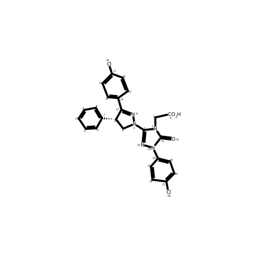 O=C(O)Cn1c(N2C[C@H](c3ccccc3)C(c3ccc(Cl)cc3)=N2)nn(-c2ccc(Cl)cc2)c1=O